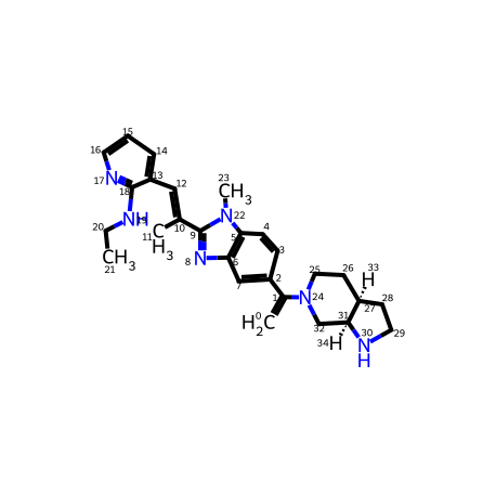 C=C(c1ccc2c(c1)nc(/C(C)=C/c1cccnc1NCC)n2C)N1CC[C@H]2CCN[C@H]2C1